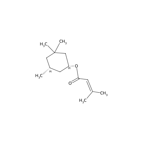 CC(C)=CC(=O)O[C@@H]1C[C@H](C)CC(C)(C)C1